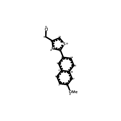 COc1ccc2cc(-c3nc(CCl)cs3)ccc2c1